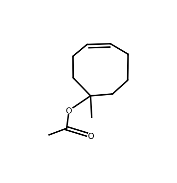 CC(=O)OC1(C)CCC=CCCC1